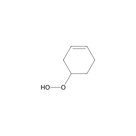 OOC1CC=CCC1